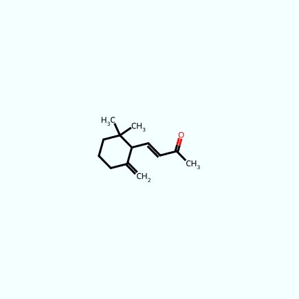 C=C1CCCC(C)(C)C1C=CC(C)=O